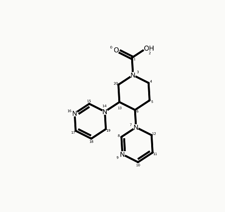 O=C(O)N1CCC(N2C=NC=CC2)C(N2C=NC=CC2)C1